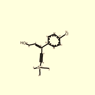 C[Si](C)(C)C#CC(=CCO)c1ccc(Cl)cc1